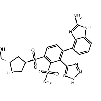 Nc1nc2c(-c3ccc(S(=O)(=O)[C@H]4CN[C@H](CO)C4)c(S(N)(=O)=O)c3-c3nn[nH]n3)cccc2[nH]1